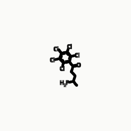 CC(P)CCC(=O)c1c(Cl)c(Cl)c(Cl)c(Cl)c1Cl